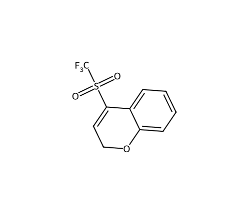 O=S(=O)(C1=CCOc2ccccc21)C(F)(F)F